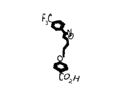 O=C(O)c1ccc(OCCCc2cc(-c3ccc(C(F)(F)F)cc3)no2)cc1